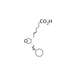 O=C(O)CCCC=CC[C@H]1COC[C@H]1CSC1CCCCCC1